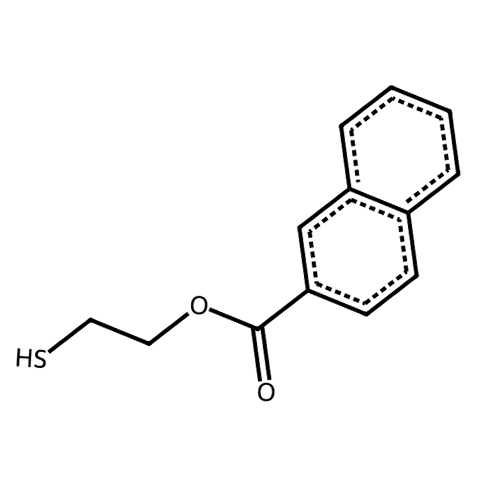 O=C(OCCS)c1ccc2ccccc2c1